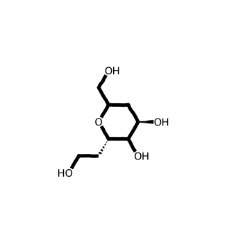 OCC[C@@H]1OC(CO)C[C@@H](O)C1O